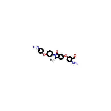 C=C1c2ccc(Oc3ccc(N)c(C=O)c3)cc2C(=O)N1C1=CC=C(Oc2ccc(N)cc2)C=CC1